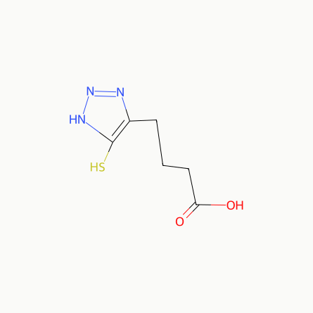 O=C(O)CCCc1nn[nH]c1S